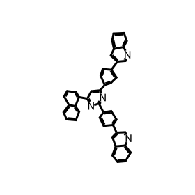 c1ccc2ncc(-c3ccc(-c4cc(-c5cccc6ccccc56)nc(-c5ccc(-c6cnc7ccccc7c6)cc5)n4)cc3)cc2c1